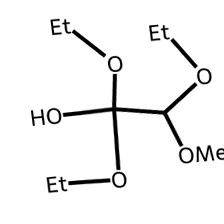 CCOC(OC)C(O)(OCC)OCC